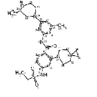 CCS(=O)(=O)Nc1ccc(C(=O)Nc2cc(C)cc(N3CCO[C@H](C)C3)n2)c(N2CCC3(CC2)CC3)c1